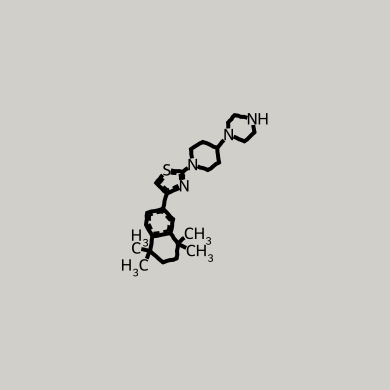 CC1(C)CCC(C)(C)c2cc(-c3csc(N4CCC(N5CCNCC5)CC4)n3)ccc21